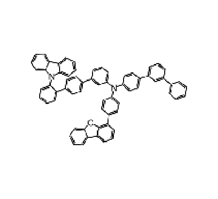 c1ccc(-c2cccc(-c3ccc(N(c4ccc(-c5cccc6c5oc5ccccc56)cc4)c4cccc(-c5ccc(-c6ccccc6-n6c7ccccc7c7ccccc76)cc5)c4)cc3)c2)cc1